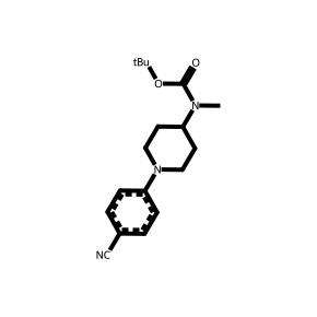 CN(C(=O)OC(C)(C)C)C1CCN(c2ccc(C#N)cc2)CC1